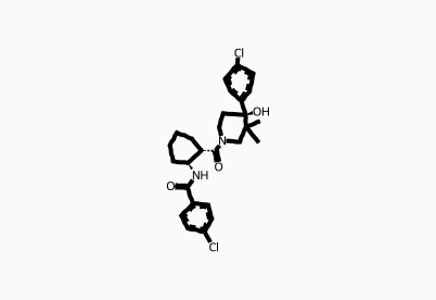 CC1(C)CN(C(=O)[C@H]2CCCC[C@H]2NC(=O)c2ccc(Cl)cc2)CC[C@]1(O)c1ccc(Cl)cc1